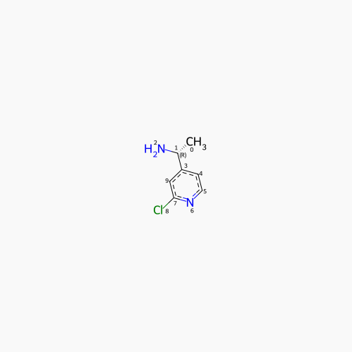 C[C@@H](N)c1ccnc(Cl)c1